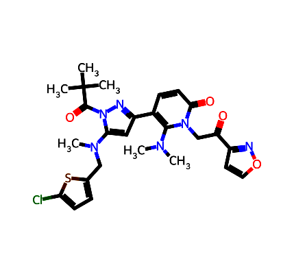 CN(C)c1c(-c2cc(N(C)Cc3ccc(Cl)s3)n(C(=O)C(C)(C)C)n2)ccc(=O)n1CC(=O)c1ccon1